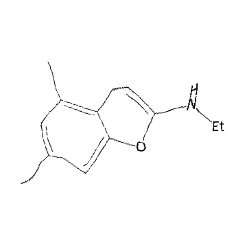 CCNc1cc2c(C)cc(C)cc2o1